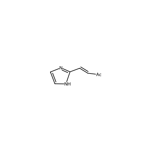 CC(=O)/C=C/c1ncc[nH]1